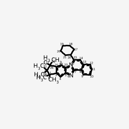 CC1(C)c2cc3nc4c5ccccc5cc(C5CCCCC5)n4c3cc2C(C)(C)C1(C)C